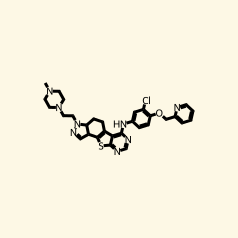 CN1CCN(CCN2N=CC3c4sc5ncnc(Nc6ccc(OCc7ccccn7)c(Cl)c6)c5c4CCC32)CC1